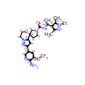 CCn1nc(C)c(C(C)NC(=O)N2CCC3(C2)OCCn2nc(-c4cnc(N)c(OC(F)(F)F)c4)cc23)c1C